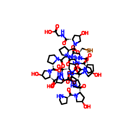 O=C(O)CNC(=O)[C@@H]1C[C@@H](O)CN1C(=O)[C@@H]1CCCN1C(=O)CNC(=O)[C@@H]1C[C@@H](O)CN1C(=O)[C@@H]1CCCN1C(=O)CNC(=O)[C@@H]1C[C@@H](O)CN1C(=O)[C@@H]1CCCN1C(=O)CNC(=O)[C@H](CS)NC(=O)[C@@H]1CCCN1C(=O)CNC(=O)[C@@H]1C[C@@H](O)CN1C(=O)[C@@H]1CCCN1C(=O)CNC(=O)[C@@H]1C[C@@H](O)CN1C(=O)[C@@H]1CCCN1